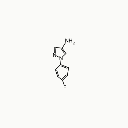 Nc1cnn(-c2ccc(F)cc2)c1